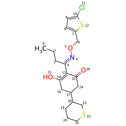 CCC/C(=N\OCc1ccc(Cl)s1)C1=C(O)CC(C2CCCSC2)CC1=O